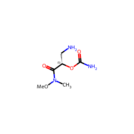 CON(C)C(=O)[C@H](CN)OC(N)=O